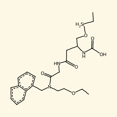 CCOCCN(Cc1cccc2ccccc12)C(=O)CNC(=O)CC(CO[SiH2]CC)NC(=O)O